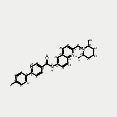 Cc1ccc(-c2ccc(C(=O)Nc3ccc4nc(CN5[C@H](C)CCC[C@@H]5C)ccc4c3)cn2)cc1